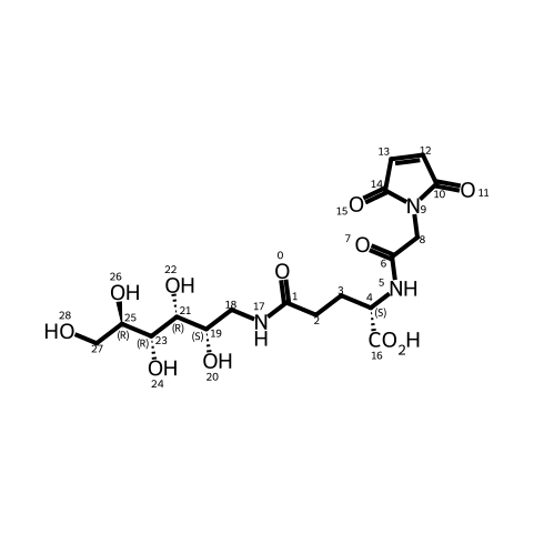 O=C(CC[C@H](NC(=O)CN1C(=O)C=CC1=O)C(=O)O)NC[C@H](O)[C@@H](O)[C@H](O)[C@H](O)CO